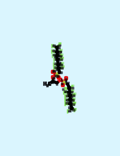 CC(COS(=O)(=O)CC(F)(F)C(F)(F)C(F)(F)C(F)(F)C(F)(F)C(F)F)OS(=O)(=O)CC(F)(F)C(F)(F)C(F)(F)C(F)(F)C(F)(F)C(F)F